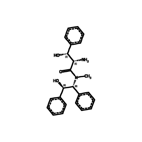 CN(C(=O)[C@@H](N)[C@H](O)c1ccccc1)[C@H](c1ccccc1)[C@H](O)c1ccccc1